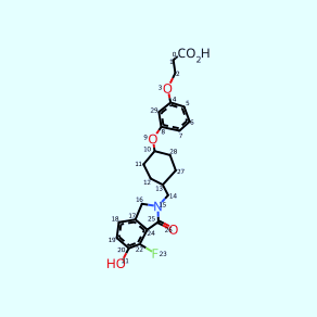 O=C(O)CCOc1cccc(OC2CCC(CN3Cc4ccc(O)c(F)c4C3=O)CC2)c1